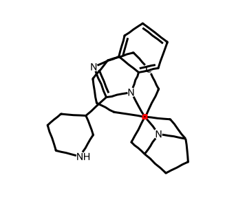 c1ccc2c(c1)nc(C1CCCNC1)n2C1CC2CCC(C1)N2C1CCCCCCC1